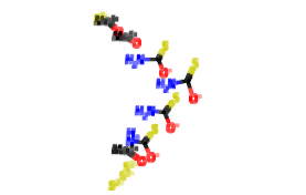 NC([O-])=S.NC([O-])=S.NC([O-])=S.NC([O-])=S.[O]=[Mo+4].[O]=[Mo+4].[O]=[Mo+4].[S-2].[S-2].[S-2].[S-2]